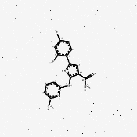 Cc1cccc(Nc2sc(-c3ccc(F)cc3F)cc2C(N)=O)n1